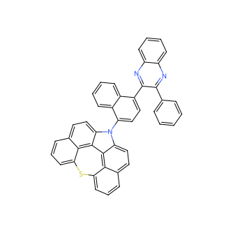 c1ccc(-c2nc3ccccc3nc2-c2ccc(-n3c4ccc5cccc6sc7cccc8ccc3c(c87)c4c56)c3ccccc23)cc1